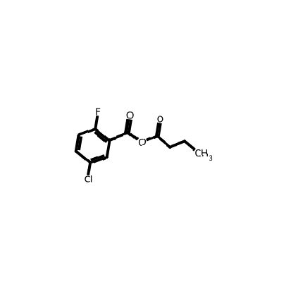 CCCC(=O)OC(=O)c1cc(Cl)ccc1F